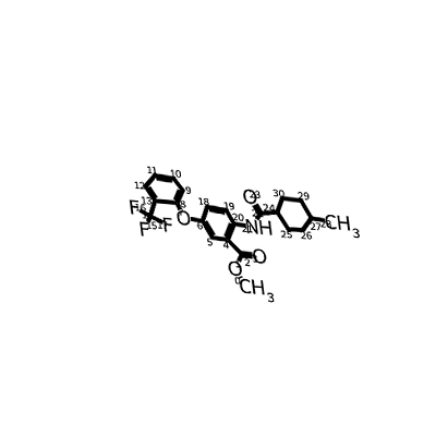 COC(=O)c1cc(Oc2ccccc2C(F)(F)F)ccc1NC(=O)C1CCC(C)CC1